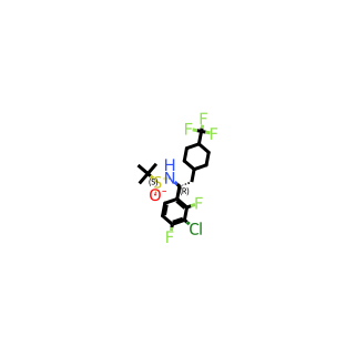 CC(C)(C)[S@@+]([O-])N[C@H](CC1CCC(C(F)(F)F)CC1)c1ccc(F)c(Cl)c1F